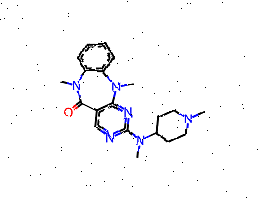 CN1CCC(N(C)c2ncc3c(n2)N(C)c2ccccc2N(C)C3=O)CC1